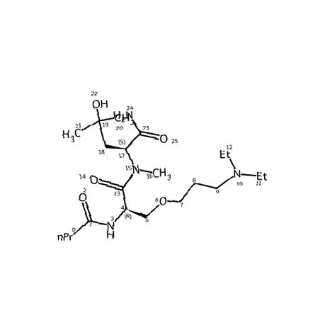 CCCC(=O)N[C@H](COCCCN(CC)CC)C(=O)N(C)[C@@H](CC(C)(C)O)C(N)=O